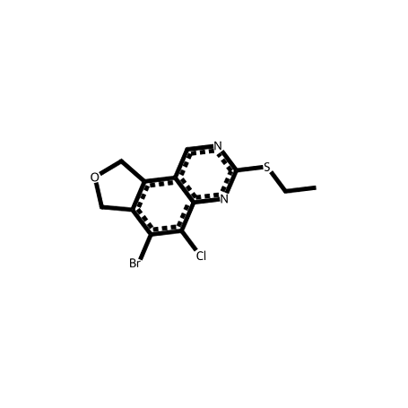 CCSc1ncc2c3c(c(Br)c(Cl)c2n1)COC3